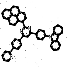 c1ccc(-c2ccc(-c3cc(-c4ccc(-n5c6ccccc6c6ccccc65)cc4)nc(-c4ccc5ccc6cccc7ccc4c5c67)n3)cc2)nc1